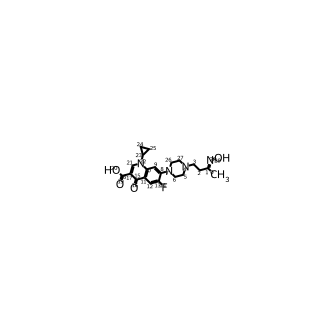 CC(CCN1CCN(c2cc3c(cc2F)c(=O)c(C(=O)O)cn3C2CC2)CC1)=NO